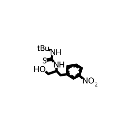 CC(C)(C)NC(=S)NC(CO)Cc1cccc([N+](=O)[O-])c1